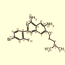 CN(C)CCOc1cc2nc(-c3ccc(Br)cc3F)nc(N)c2cc1N